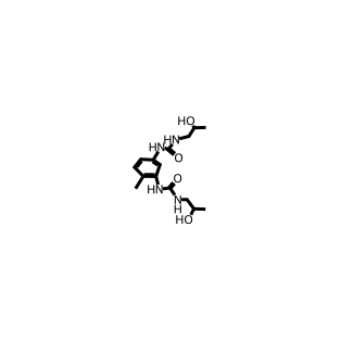 Cc1ccc(NC(=O)NCC(C)O)cc1NC(=O)NCC(C)O